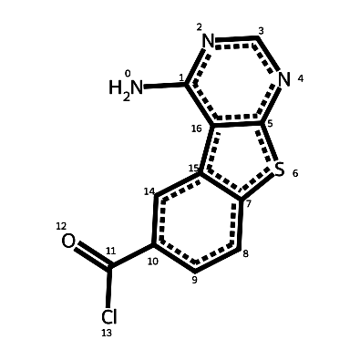 Nc1ncnc2sc3ccc(C(=O)Cl)cc3c12